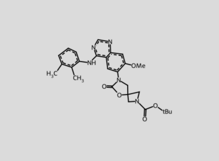 COc1cc2ncnc(Nc3cccc(C)c3C)c2cc1N1CC2(CN(C(=O)OC(C)(C)C)C2)OC1=O